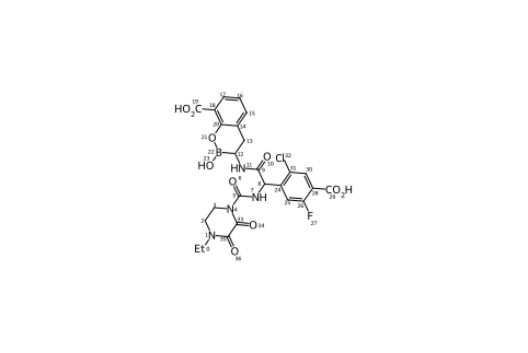 CCN1CCN(C(=O)NC(C(=O)NC2Cc3cccc(C(=O)O)c3OB2O)c2cc(F)c(C(=O)O)cc2Cl)C(=O)C1=O